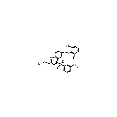 N#CCCC1CN(S(=O)(=O)c2cccc(C(F)(F)F)c2)c2cc(CCc3c(F)cccc3Cl)ccc2O1